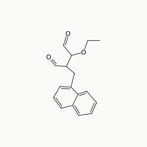 CCOC(C=O)C(C=O)Cc1cccc2ccccc12